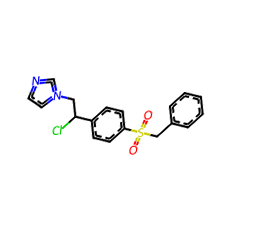 O=S(=O)(Cc1ccccc1)c1ccc(C(Cl)Cn2ccnc2)cc1